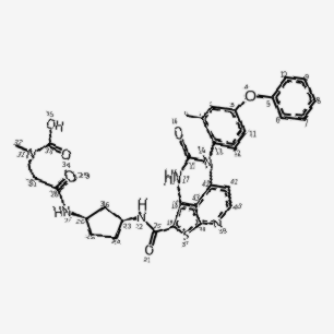 Cc1cc(Oc2ccccc2)ccc1N1C(=O)Nc2c(C(=O)N[C@H]3CC[C@@H](NC(=O)CN(C)C(=O)O)C3)sc3nccc1c23